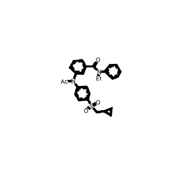 CCN(C(=O)c1cccc(N(C(C)=O)c2ccc(S(=O)(=O)CC3CC3)cc2)c1)c1ccccc1